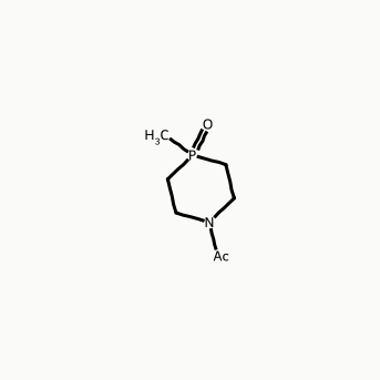 CC(=O)N1CCP(C)(=O)CC1